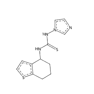 S=C(NC1CCCc2sccc21)Nn1ccnc1